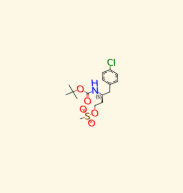 CC(C)(C)OC(=O)N[C@H](CCOS(C)(=O)=O)Cc1ccc(Cl)cc1